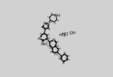 Cl.Cl.Cl.Nc1ncc(-c2cnn(C3CCNCC3)c2)cc1-c1cc2ccc(-c3ccccc3)cc2cn1